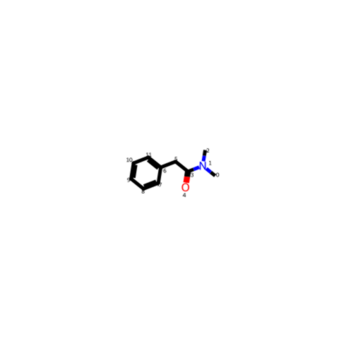 CN(C)C(=O)Cc1[c]cccc1